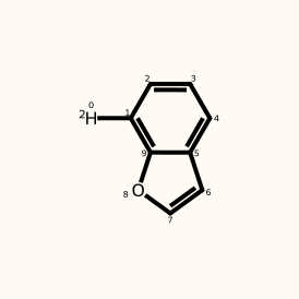 [2H]c1cccc2ccoc12